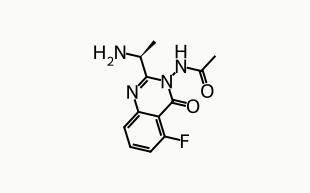 CC(=O)Nn1c([C@H](C)N)nc2cccc(F)c2c1=O